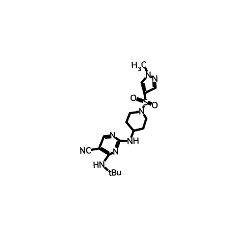 Cn1cc(S(=O)(=O)N2CCC(Nc3ncc(C#N)c(NC(C)(C)C)n3)CC2)cn1